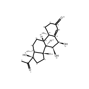 CC(=O)[C@@]1(O)CC[C@H]2[C@@H]3[C@H](O)[C@H](O)C4=CC(=O)CC[C@]4(C)[C@H]3CC[C@@]21C